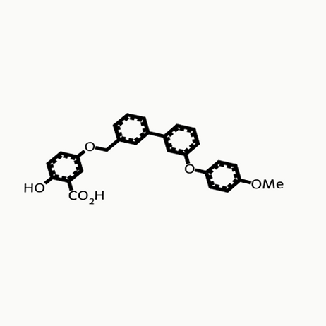 COc1ccc(Oc2cccc(-c3cccc(COc4ccc(O)c(C(=O)O)c4)c3)c2)cc1